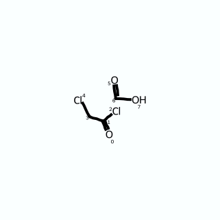 O=C(Cl)CCl.O=CO